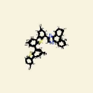 Cc1ccc2sc3c(-c4cc(C)cc5c4sc4c(-c6cnc7c8ccccc8c8ccccc8c7n6)cc(C)cc45)cc(C)cc3c2c1